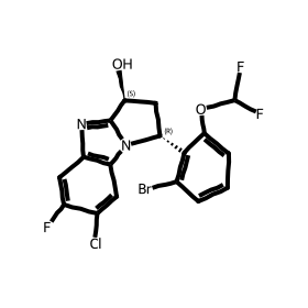 O[C@H]1C[C@H](c2c(Br)cccc2OC(F)F)n2c1nc1cc(F)c(Cl)cc12